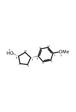 COc1ccc([C@@H]2CC[C@H](O)C2)cc1